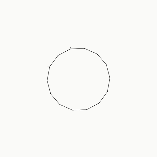 [CH]1C[CH]CCCCCCCCCCC1